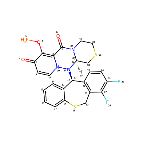 O=C1c2c(OP)c(=O)ccn2N([C@@H]2c3ccccc3SCc3c2ccc(F)c3F)[C@@H]2CSCCN12